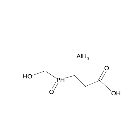 O=C(O)CC[PH](=O)CO.[AlH3]